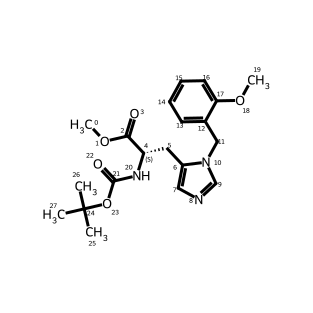 COC(=O)[C@H](Cc1cncn1Cc1ccccc1OC)NC(=O)OC(C)(C)C